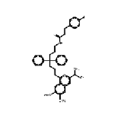 CCCC(N)c1cc2cc(OC)c(OC)cc2c(CCCC(CCCNC(=O)CCc2ccc(F)cc2)(c2ccccc2)c2ccccc2)n1